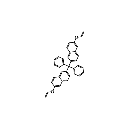 C=COc1ccc2cc(C(c3ccccc3)(c3ccccc3)c3ccc4cc(OC=C)ccc4c3)ccc2c1